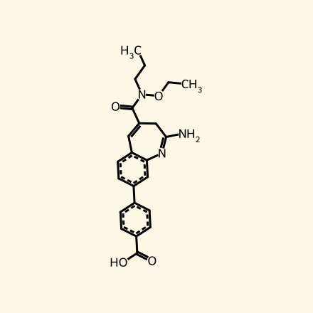 CCCN(OCC)C(=O)C1=Cc2ccc(-c3ccc(C(=O)O)cc3)cc2N=C(N)C1